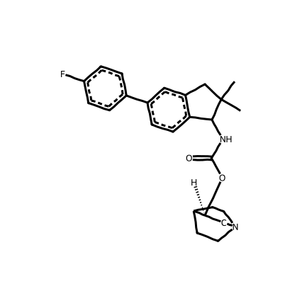 CC1(C)Cc2cc(-c3ccc(F)cc3)ccc2C1NC(=O)O[C@H]1CN2CCC1CC2